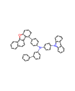 c1ccc(-c2cccc(N(c3ccc(-c4cccc5oc6c7ccccc7ccc6c45)cc3)c3ccc(-n4c5ccccc5c5ccccc54)cc3)c2)cc1